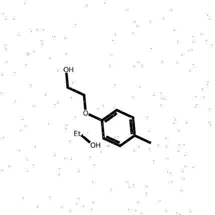 CCO.Cc1ccc(OCCO)cc1